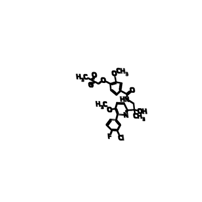 COc1cc(C(=O)NCC(C)(O)c2ccc(OC)c(-c3ccc(F)c(Cl)c3)n2)ccc1OCS(C)(=O)=O